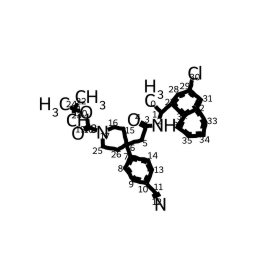 CC(NC(=O)CC1(c2ccc(C#N)cc2)CCN(C(=O)OC(C)(C)C)CC1)c1cc(Cl)cc2ccccc12